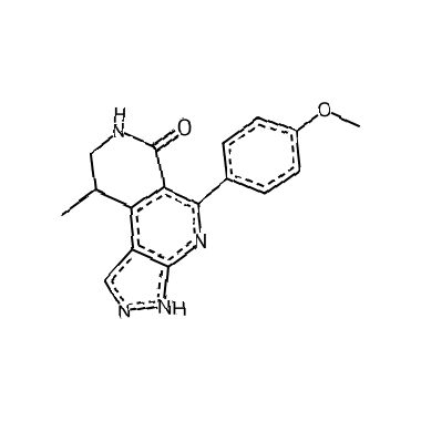 COc1ccc(-c2nc3[nH]ncc3c3c2C(=O)NCC3C)cc1